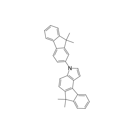 CC1(C)c2ccccc2-c2ccc(-n3ccc4c5c(ccc43)C(C)(C)c3ccccc3-5)cc21